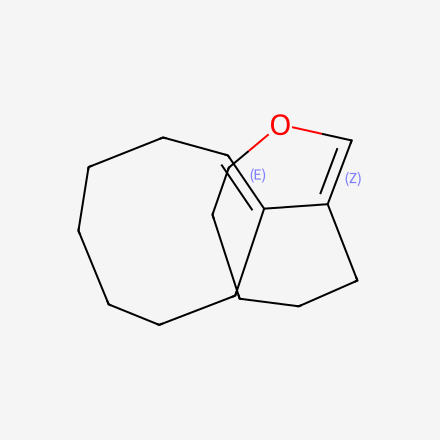 C1=C(\C2=C\CCCCCC2)CCCCCO/1